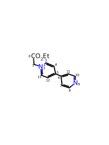 CCOC(=O)C[n+]1ccc(-c2ccncc2)cc1